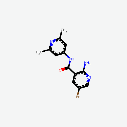 Cc1cc(NC(=O)c2cc(Br)cnc2N)cc(C)n1